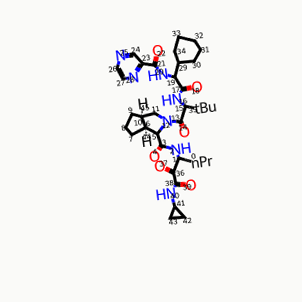 CCCC(NC(=O)C1[C@H]2CCC[C@H]2CN1C(=O)C(NC(=O)C(NC(=O)c1cnccn1)C1CCCCC1)C(C)(C)C)C(=O)C(=O)NC1CC1